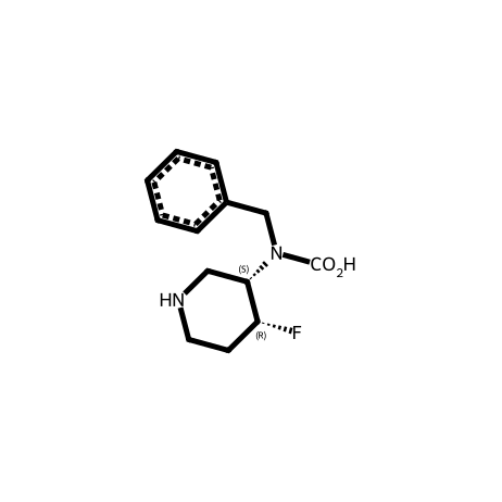 O=C(O)N(Cc1ccccc1)[C@H]1CNCC[C@H]1F